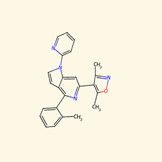 Cc1ccccc1-c1nc(-c2c(C)noc2C)cc2c1ccn2-c1ccccn1